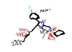 CC(C)n1c(CN(C)S(=O)(=O)c2ccccc2)nc(-c2ccc(F)cc2)c1CC[C@@H](O)C[C@@H](O)CC(=O)[O-].[Na+]